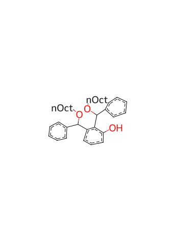 CCCCCCCCOC(c1ccccc1)c1cccc(O)c1C(OCCCCCCCC)c1ccccc1